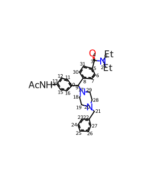 CCN(CC)C(=O)c1ccc(C(c2ccc(NC(C)=O)cc2)N2CCN(Cc3ccccc3)CC2)cc1